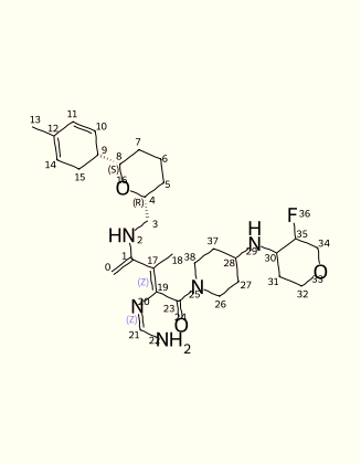 C=C(NC[C@H]1CCC[C@@H](C2C=CC(C)=CC2)O1)/C(C)=C(\N=C/N)C(=O)N1CCC(NC2CCOCC2F)CC1